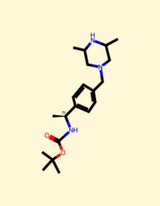 CC1CN(Cc2ccc([C@H](C)NC(=O)OC(C)(C)C)cc2)CC(C)N1